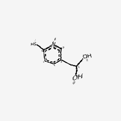 OC(O)c1ccc(S)nc1